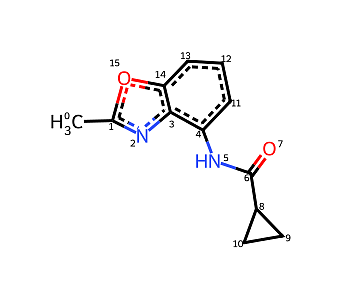 Cc1nc2c(NC(=O)C3CC3)cccc2o1